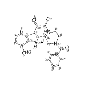 O=Cc1ccnc2c1NC1C2C(=O)C(=O)N2CCN(C(=O)c3ccccc3)C[C@@H]12